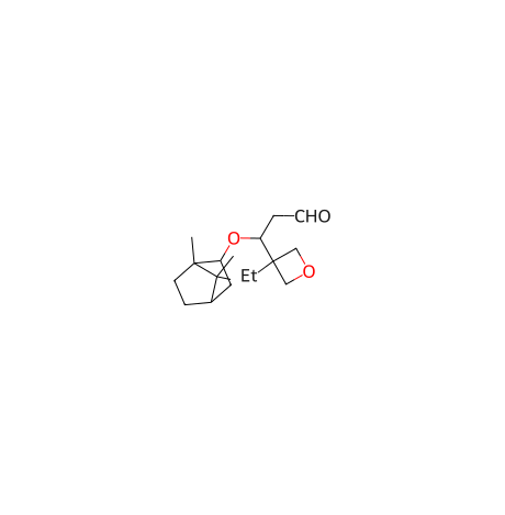 CCC1(C(CC=O)OC2CC3CCC2(C)C3(C)C)COC1